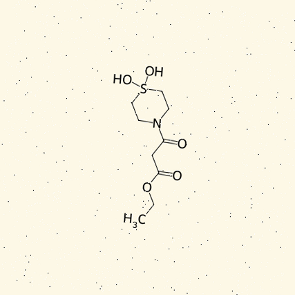 CCOC(=O)CC(=O)N1CCS(O)(O)CC1